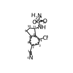 N#Cc1cc(Cl)c2c(c1)CC[C@H]2NS(N)(=O)=O